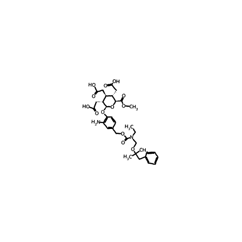 CCN(COC(C)(C)Cc1ccccc1)C(=O)OCc1ccc(O[C@@H]2O[C@H](C(=O)OC)[C@@H](CC(=O)O)[C@H](CC(=O)O)[C@H]2CC(=O)O)c(N)c1